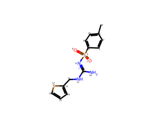 Cc1ccc(S(=O)(=O)/N=C(\N)NCc2cccs2)cc1